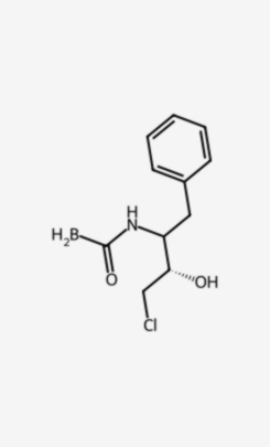 BC(=O)NC(Cc1ccccc1)[C@H](O)CCl